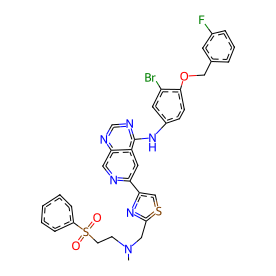 CN(CCS(=O)(=O)c1ccccc1)Cc1nc(-c2cc3c(Nc4ccc(OCc5cccc(F)c5)c(Br)c4)ncnc3cn2)cs1